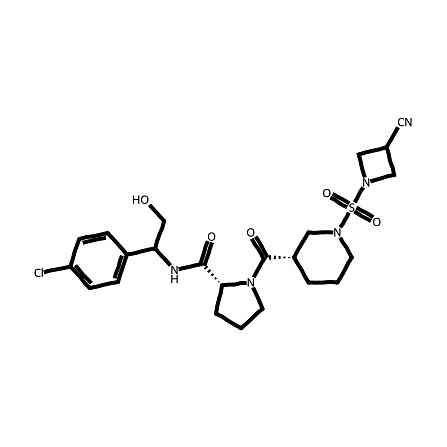 N#CC1CN(S(=O)(=O)N2CCC[C@H](C(=O)N3CCC[C@@H]3C(=O)NC(CO)c3ccc(Cl)cc3)C2)C1